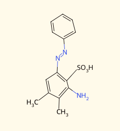 Cc1cc(N=Nc2ccccc2)c(S(=O)(=O)O)c(N)c1C